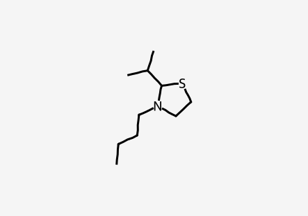 CCCCN1CCSC1C(C)C